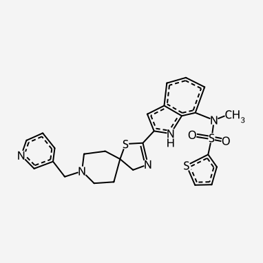 CN(c1cccc2cc(C3=NCC4(CCN(Cc5cccnc5)CC4)S3)[nH]c12)S(=O)(=O)c1cccs1